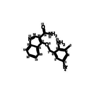 Cc1cc(Br)cc(COc2c(C(N)=O)cnc3ccccc23)c1N